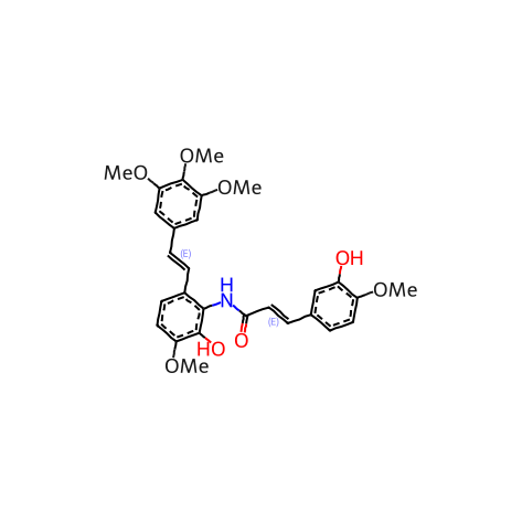 COc1ccc(/C=C/C(=O)Nc2c(/C=C/c3cc(OC)c(OC)c(OC)c3)ccc(OC)c2O)cc1O